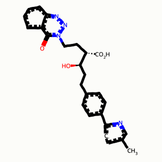 Cc1ccc(-c2ccc(CC[C@@H](O)[C@H](CCn3nnc4ccccc4c3=O)C(=O)O)cc2)nc1